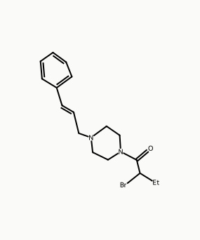 CCC(Br)C(=O)N1CCN(CC=Cc2ccccc2)CC1